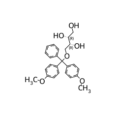 COc1ccc(C(OC[C@@H](O)[C@H](O)CO)(c2ccccc2)c2ccc(OC)cc2)cc1